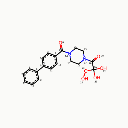 O=C(c1ccc(-c2ccccc2)cc1)N1CCN(C(=O)C(O)(O)OO)CC1